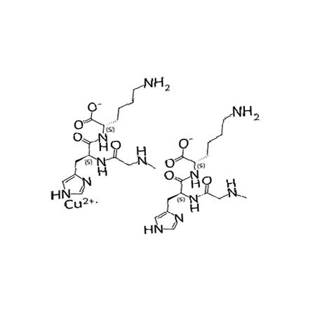 CNCC(=O)N[C@@H](Cc1c[nH]cn1)C(=O)N[C@@H](CCCCN)C(=O)[O-].CNCC(=O)N[C@@H](Cc1c[nH]cn1)C(=O)N[C@@H](CCCCN)C(=O)[O-].[Cu+2]